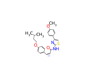 COc1ccc(-c2csc(NC(=O)/C=C\c3ccc(OCCC(C)C)cc3)n2)cc1